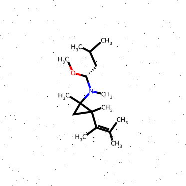 CO[C@H](CC(C)C)N(C)C1(C)CC1(C)C(C)=C(C)C